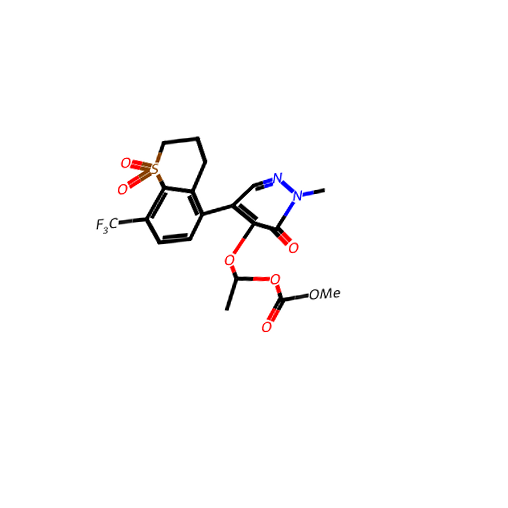 COC(=O)OC(C)Oc1c(-c2ccc(C(F)(F)F)c3c2CCCS3(=O)=O)cnn(C)c1=O